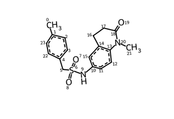 Cc1ccc(CS(=O)(=O)Nc2ccc3c(c2)CCC(=O)N3C)cc1